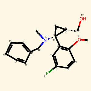 COc1ccc(F)cc1[C@@]1(N(C)Cc2ccccc2)C[C@@H]1CO